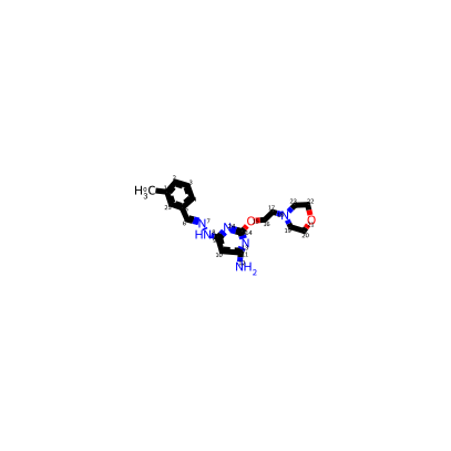 Cc1cccc(/C=N/Nc2cc(N)nc(OCCN3CCOCC3)n2)c1